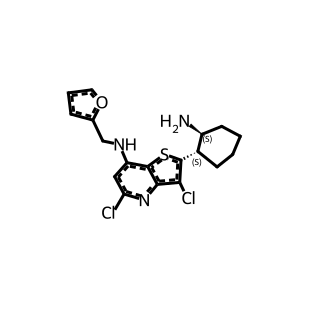 N[C@H]1CCCC[C@@H]1c1sc2c(NCc3ccco3)cc(Cl)nc2c1Cl